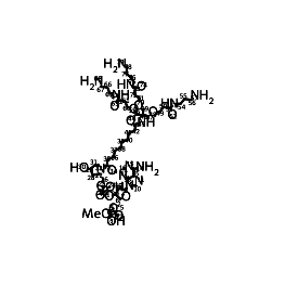 COP(=O)(O)OC[C@H]1O[C@@H](n2cnc3c(N)ncnc32)C[C@@H]1OP(=O)(O)OC[C@@H]1C[C@@H](O)CN1C(=O)CCCCCCCCC(=O)NC(COCCC(=O)NCCCN)(COCCC(=O)NCCCN)COCCC(=O)NCCCN